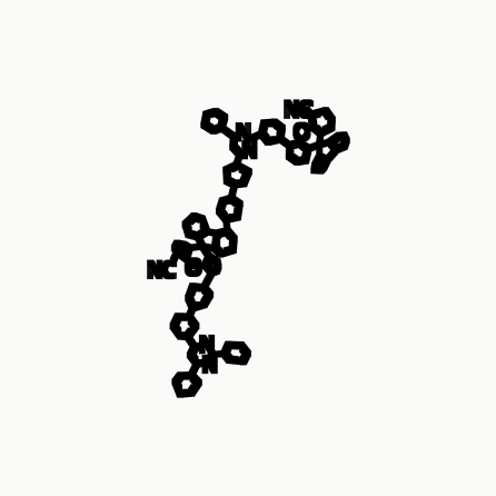 N#Cc1cccc2c1Oc1c(-c3cccc(-c4nc(-c5ccccc5)cc(-c5ccc(-c6ccc(-c7cccc8c7-c7ccccc7C87c8cccc(C#N)c8Oc8c(-c9ccc(-c%10cccc(-c%11cc(-c%12ccccc%12)nc(-c%12ccccc%12)n%11)c%10)cc9)cccc87)cc6)cc5)n4)c3)cccc1C21c2ccccc2-c2ccccc21